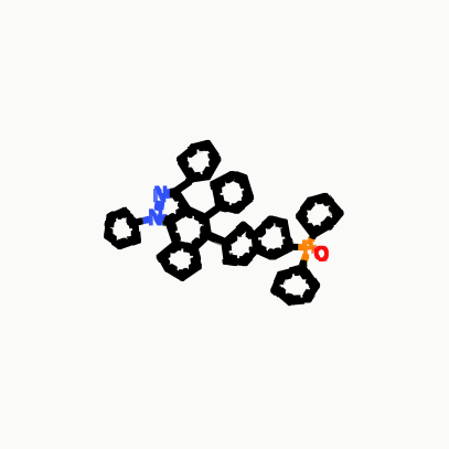 O=P(c1ccccc1)(c1ccccc1)c1ccc2cc(-c3c(-c4ccccc4)c4c(-c5ccccc5)nn(-c5ccccc5)c4c4ccccc34)ccc2c1